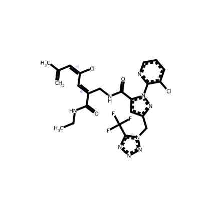 C=C(C)/C=C(Cl)\C=C(/CNC(=O)c1cc(Cn2nnnc2C(F)(F)F)nn1-c1ncccc1Cl)C(=O)NCC